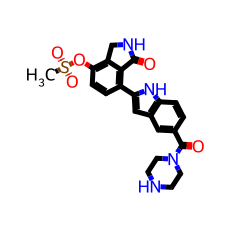 CS(=O)(=O)Oc1ccc(-c2cc3cc(C(=O)N4CCNCC4)ccc3[nH]2)c2c1CNC2=O